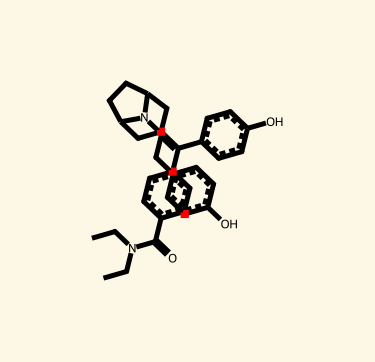 CCN(CC)C(=O)c1ccc(C(=C2CC3CCC(C2)N3CCc2ccc(O)cc2)c2ccc(O)cc2)cc1